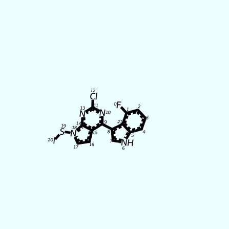 Fc1cccc2[nH]cc(-c3nc(Cl)nc4c3ccn4SI)c12